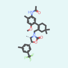 COc1cc(C)c(NC(C)=O)cc1C1=C(CN2C(=O)O[C@H](c3cc(C)cc(C(F)(F)F)c3)[C@@H]2C)CC(C)(C)CC1